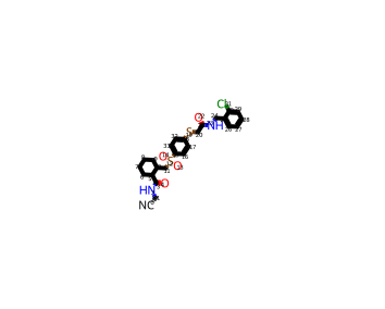 N#CCNC(=O)C1CCCCC1CS(=O)(=O)c1ccc(SCC(=O)NCc2ccccc2Cl)cc1